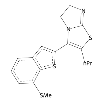 CCCC1=C(c2cc3cccc(SC)c3s2)N2CCN=C2S1